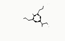 CCCCCCCCCCCCc1cc(C(CCCCCCCC)CS(=O)(=O)O)cc(CCCCCCCCCCCC)c1O